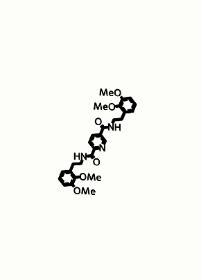 COc1cccc(CCNC(=O)c2ccc(C(=O)NCCc3cccc(OC)c3OC)nc2)c1OC